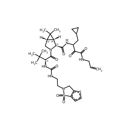 C=CCNC(=O)C(=O)C(CC1CC1)NC(=O)[C@@H]1[C@@H]2[C@H](CN1C(=O)[C@@H](NC(=O)NCCN1Cc3sccc3S1(=O)=O)C(C)(C)C)C2(C)C